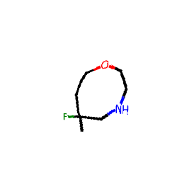 CC1(F)CCOCCNC1